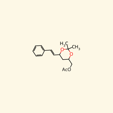 CC(=O)OCC1CC(C=Cc2ccccc2)OC(C)(C)O1